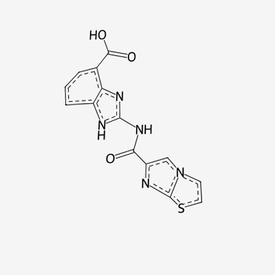 O=C(Nc1nc2c(C(=O)O)cccc2[nH]1)c1cn2ccsc2n1